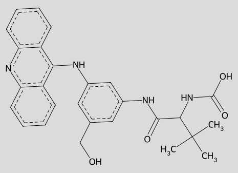 CC(C)(C)C(NC(=O)O)C(=O)Nc1cc(CO)cc(Nc2c3ccccc3nc3ccccc23)c1